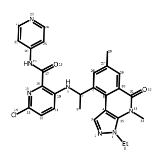 CCn1ncc2c3c(C(C)Nc4ccc(Cl)nc4C(=O)Nc4ccncc4)cc(C)cc3c(=O)n(C)c21